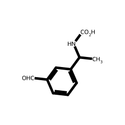 CC(NC(=O)O)c1cccc(C=O)c1